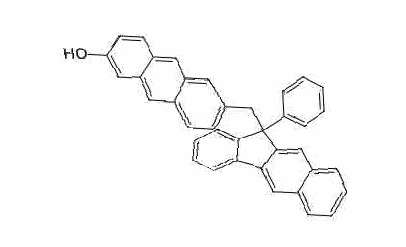 Oc1ccc2cc3cc(CC4(c5ccccc5)c5ccccc5-c5cc6ccccc6cc54)ccc3cc2c1